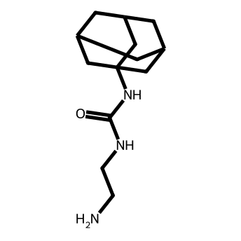 NCCNC(=O)NC12CC3CC(CC(C3)C1)C2